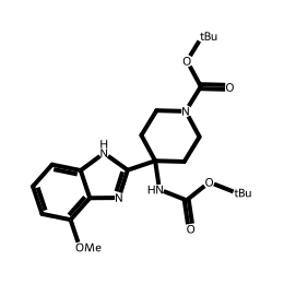 COc1cccc2[nH]c(C3(NC(=O)OC(C)(C)C)CCN(C(=O)OC(C)(C)C)CC3)nc12